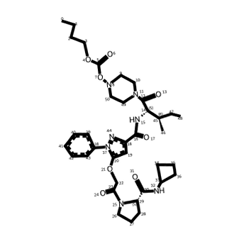 CCCCOC(=O)ON1CCN(C(=O)[C@@H](NC(=O)c2cc(OCC(=O)N3CCC[C@H]3C(=O)NC3CCC3)n(-c3ccccc3)n2)[C@H](C)CC)CC1